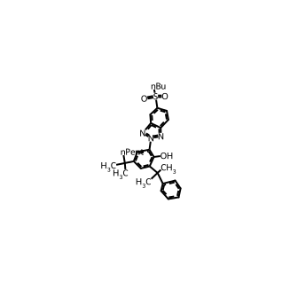 CCCCCC(C)(C)c1cc(-n2nc3ccc(S(=O)(=O)CCCC)cc3n2)c(O)c(C(C)(C)c2ccccc2)c1